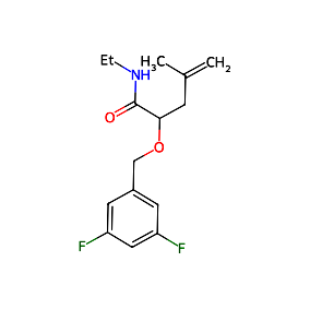 C=C(C)CC(OCc1cc(F)cc(F)c1)C(=O)NCC